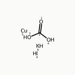 I.O=C(O)O.[Cu].[KH]